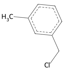 Cc1cccc(CCl)c1